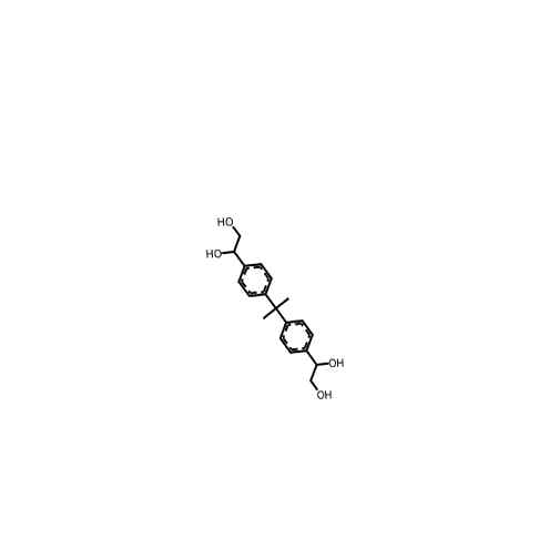 CC(C)(c1ccc(C(O)CO)cc1)c1ccc(C(O)CO)cc1